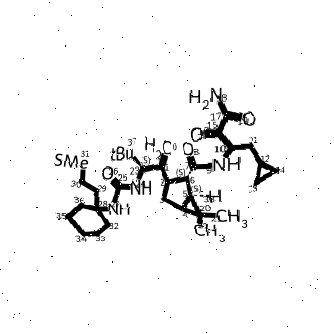 C=C(C1CC2[C@@H]([C@H]1C(=O)NC(CC1CC1)C(=O)C(N)=O)C2(C)C)[C@@H](NC(=O)NC1(CCSC)CCCCC1)C(C)(C)C